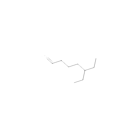 CCC(CC)CCCC=N